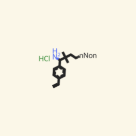 C=Cc1ccc(C(N)C(C)(C)CCCCCCCCCCC)cc1.Cl